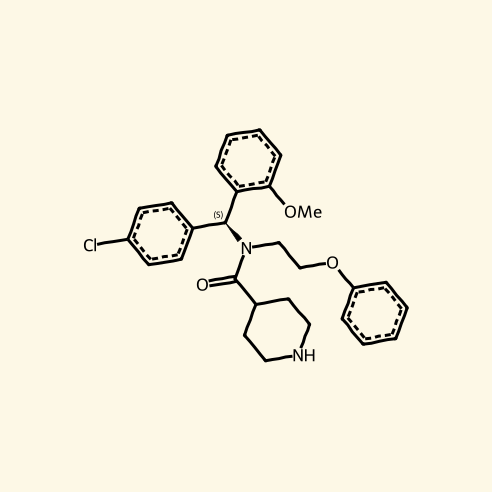 COc1ccccc1[C@H](c1ccc(Cl)cc1)N(CCOc1ccccc1)C(=O)C1CCNCC1